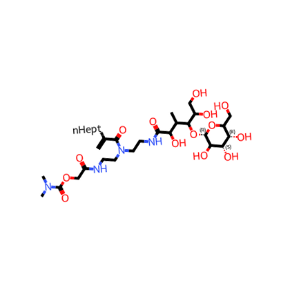 C=C(CCCCCCC)C(=O)N(CCNC(=O)COC(=O)N(C)C)CCNC(=O)C(O)C(C)C(O[C@@H]1OC(CO)[C@H](O)[C@H](O)C1O)C(O)CO